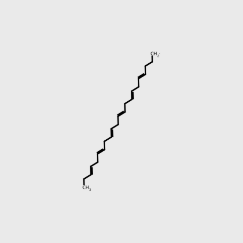 [CH2]CC/C=C/C/C=C/C/C=C/C/C=C/C/C=C/C/C=C/CC